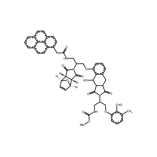 Cc1cccc(OCC(CNC(=O)OC(C)(C)C)N2C(=O)C3Cc4cccc(OCC(CNC(=O)Cc5ccc6ccc7cccc8ccc5c6c78)N5C(=O)[C@@H]6[C@H](C5=O)[C@H]5C=C[C@@H]6O5)c4C(O)C3C2=O)c1C=O